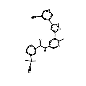 Cc1ncc(NC(=O)c2cccc(C(C)(C)C#N)c2)cc1-n1cc(-c2cncc(C#N)c2)nn1